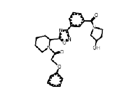 O=C(c1cccc(-c2noc(C3CCCCN3C(=O)COc3ccccc3)n2)c1)N1CCC(O)C1